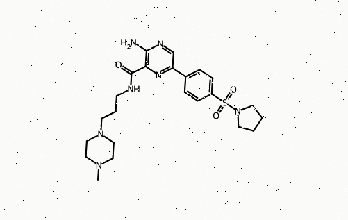 CN1CCN(CCCNC(=O)c2nc(-c3ccc(S(=O)(=O)N4CCCC4)cc3)cnc2N)CC1